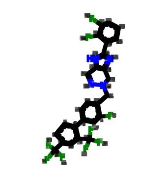 Fc1cc(-c2ccc(C(F)(F)F)cc2C(F)(F)F)ccc1CN1Cc2nc(-c3cccc(F)c3F)[nH]c2C=N1